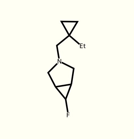 CCC1(CN2CC3C(F)C3C2)CC1